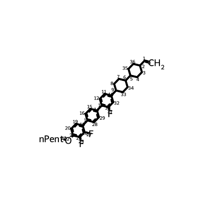 C=CC1CCC(C2CCC(c3ccc(-c4ccc(-c5ccc(OCCCCC)c(F)c5F)cc4)c(F)c3)CC2)CC1